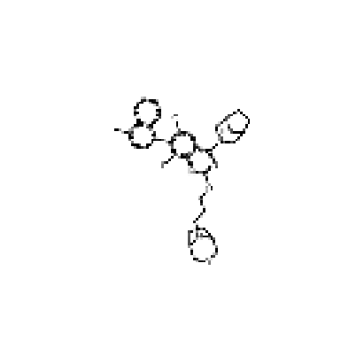 Cc1ccc(-c2c(Cl)cc3c(N4CC5CCC(C4)N5)nc(OCCCN4C5CCC4COC5)nc3c2F)c2ccccc12